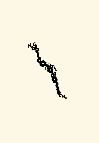 C=CC(=O)OCCCCOc1ccc(C(=O)Oc2ccc(C(=O)Oc3ccc(CCCCCCC)cc3)cc2C)cc1